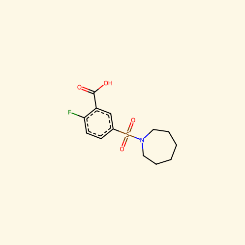 O=C(O)c1cc(S(=O)(=O)N2CCCCCC2)ccc1F